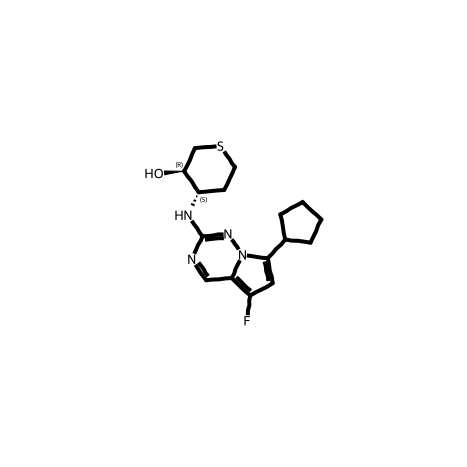 O[C@H]1CSCC[C@@H]1Nc1ncc2c(F)cc(C3CCCC3)n2n1